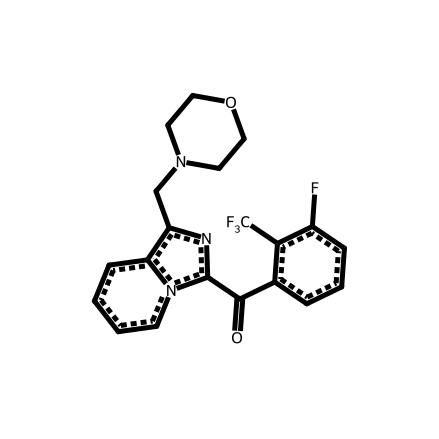 O=C(c1cccc(F)c1C(F)(F)F)c1nc(CN2CCOCC2)c2ccccn12